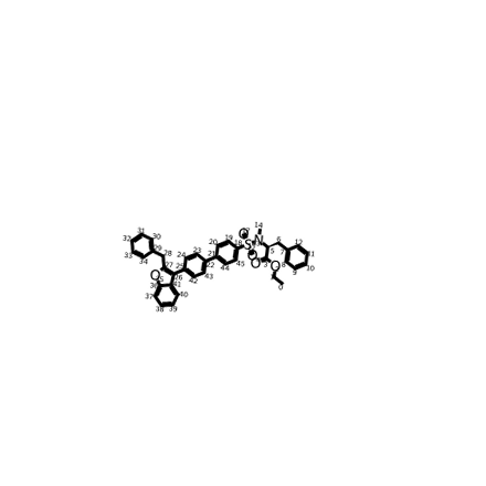 CCOC(=O)[C@H](Cc1ccccc1)N(C)S(=O)(=O)c1ccc(-c2ccc(-c3c(Cc4ccccc4)oc4ccccc34)cc2)cc1